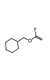 C=C(F)OCC1CCCCC1